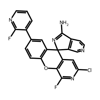 NC1=NC2(c3cc(-c4cccnc4F)ccc3Oc3c2cc(Cl)nc3F)c2cnccc21